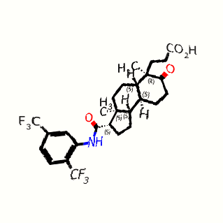 C[C@]12CC[C@H]3[C@@H](CCC(=O)[C@]3(C)CCC(=O)O)[C@@H]1CC[C@@H]2C(=O)Nc1cc(C(F)(F)F)ccc1C(F)(F)F